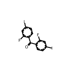 O=C(c1ccc(I)cc1F)c1ccc(I)cc1F